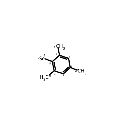 Cc1cc(C)c([Se])c(C)c1